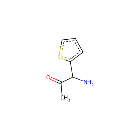 CC(=O)C(N)c1cc[c]s1